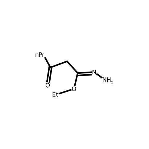 CCCC(=O)C/C(=N/N)OCC